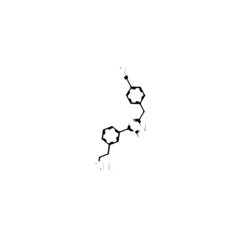 N#Cc1ccc(Cc2nnc(-c3cccc(CCN)c3)o2)cc1